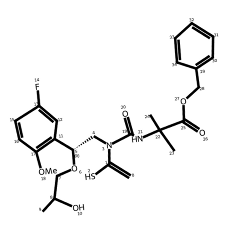 C=C(S)N(C[C@H](OCC(C)O)c1cc(F)ccc1OC)C(=O)NC(C)(C)C(=O)OCc1ccccc1